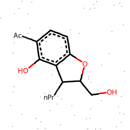 CCCC1c2c(ccc(C(C)=O)c2O)OC1CO